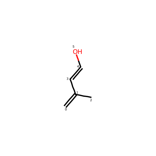 C=C(C)C=CO